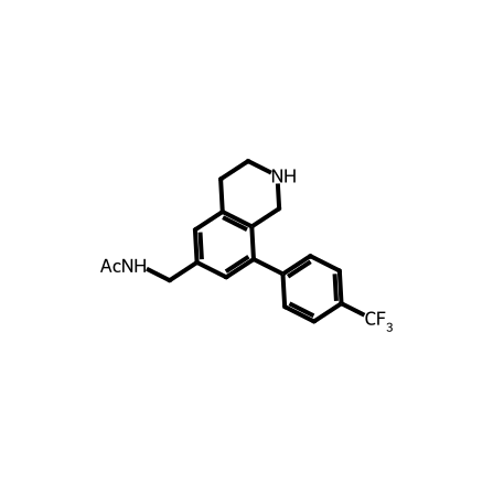 CC(=O)NCc1cc2c(c(-c3ccc(C(F)(F)F)cc3)c1)CNCC2